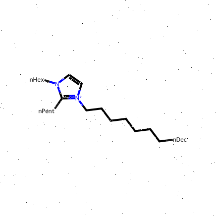 CCCCCCCCCCCCCCCCC[n+]1ccn(CCCCCC)c1CCCCC